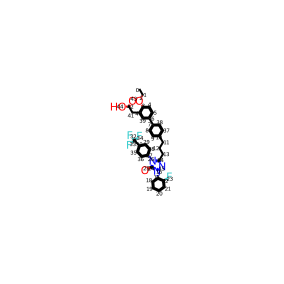 CCOc1ccc(-c2ccc(CCCc3nn(-c4ccccc4F)c(=O)n3-c3ccc(C(F)(F)F)cc3)cc2)cc1CC(=O)O